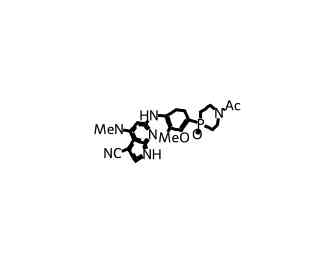 CNc1cc(NC2=C(OC)C=C(P3(=O)CCN(C(C)=O)CC3)CC2)nc2[nH]cc(C#N)c12